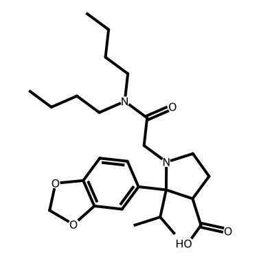 CCCCN(CCCC)C(=O)CN1CCC(C(=O)O)C1(c1ccc2c(c1)OCO2)C(C)C